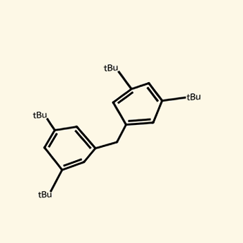 CC(C)(C)c1cc(Cc2cc(C(C)(C)C)cc(C(C)(C)C)c2)cc(C(C)(C)C)c1